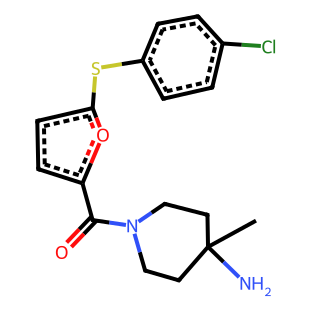 CC1(N)CCN(C(=O)c2ccc(Sc3ccc(Cl)cc3)o2)CC1